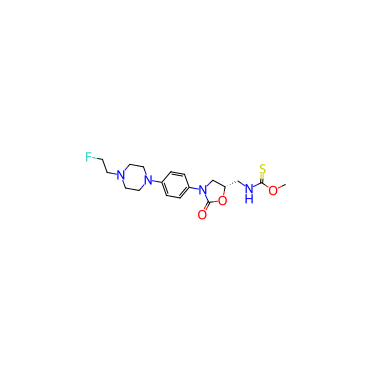 COC(=S)NC[C@H]1CN(c2ccc(N3CCN(CCF)CC3)cc2)C(=O)O1